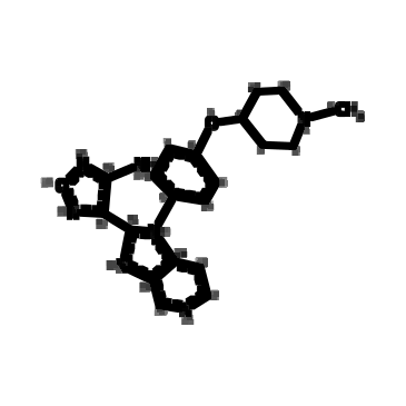 CN1CCC(Oc2ccc(-n3c(-c4nonc4N)nc4cnccc43)cc2)CC1